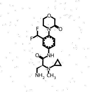 CN(C1CC1)[C@@H](CN)C(=O)Nc1ccc(N2CCOCC2=O)c(C(F)F)c1